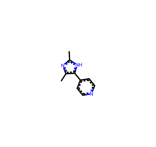 Cc1nc(C)c(-c2ccncc2)[nH]1